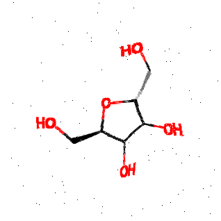 OC[C@H]1O[C@H](CO)C(O)C1O